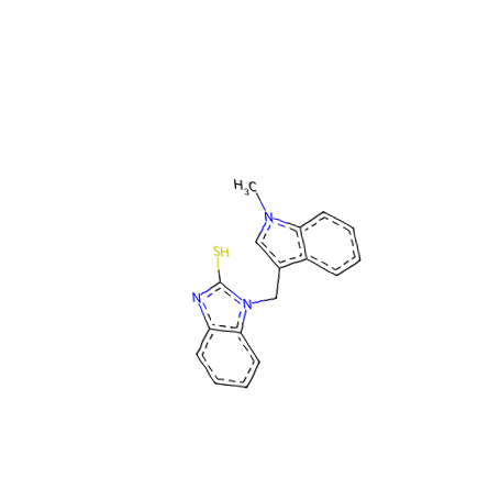 Cn1cc(Cn2c(S)nc3ccccc32)c2ccccc21